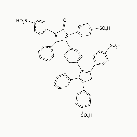 O=C1C(c2ccc(S(=O)(=O)O)cc2)=C(c2ccccc2)C(c2ccc(C3=C(c4ccc(S(=O)(=O)O)cc4)CC(c4ccc(S(=O)(=O)O)cc4)=C3c3ccccc3)cc2)=C1c1ccc(S(=O)(=O)O)cc1